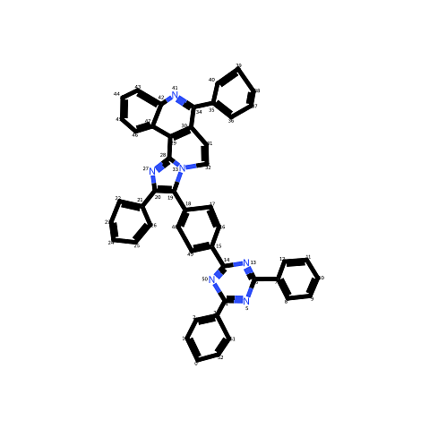 c1ccc(-c2nc(-c3ccccc3)nc(-c3ccc(-c4c(-c5ccccc5)nc5c6c(ccn45)c(-c4ccccc4)nc4ccccc46)cc3)n2)cc1